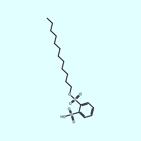 CCCCCCCCCCCCOS(=O)(=O)c1ccccc1S(=O)(=O)O